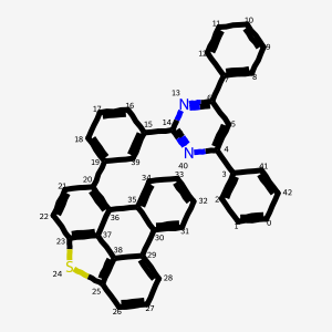 c1ccc(-c2cc(-c3ccccc3)nc(-c3cccc(-c4ccc5sc6cccc7c8ccccc8c4c5c67)c3)n2)cc1